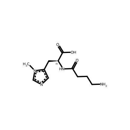 Cn1cncc1C[C@H](NC(=O)CCCN)C(=O)O